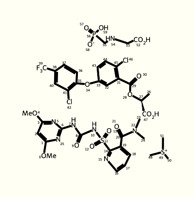 COc1cc(OC)nc(NC(=O)NS(=O)(=O)c2ncccc2C(=O)N(C)C)n1.C[C@H](OC(=O)c1cc(Oc2ccc(C(F)(F)F)cc2Cl)ccc1Cl)C(=O)O.C[S+](C)C.O=C(O)CNCP(=O)([O-])O